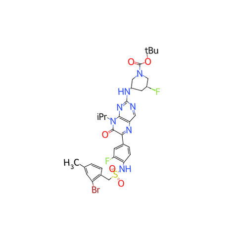 Cc1ccc(CS(=O)(=O)Nc2ccc(-c3nc4cnc(N[C@H]5C[C@H](F)CN(C(=O)OC(C)(C)C)C5)nc4n(C(C)C)c3=O)cc2F)c(Br)c1